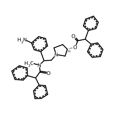 CN(C(=O)C(c1ccccc1)c1ccccc1)C(CN1CC[C@H](OC(=O)C(c2ccccc2)c2ccccc2)C1)c1cccc(N)c1